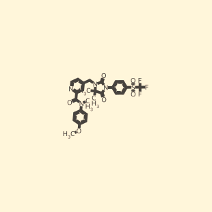 COc1ccc(N(C)C(=O)c2cc(CN3C(=O)N(c4ccc(S(=O)(=O)C(F)(F)F)cc4)C(=O)C3(C)C)ccn2)cc1